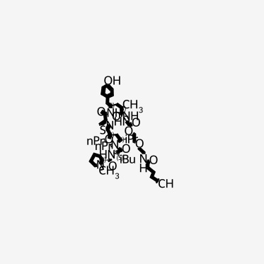 C#CCCCC(=O)NCCOCCOC(=O)NNC(=O)[C@@H](C)C[C@H](Cc1ccc(O)cc1)NC(=O)c1csc([C@@H](C[C@H](C(C)C)N(CCC)C(=O)[C@@H](NC(=O)[C@H]2CCCCN2C)[C@@H](C)CC)OCCC)n1